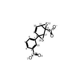 O=[N+]([O-])c1cccc(C23C=CC4SC4([N+](=O)[O-])C2S3)c1